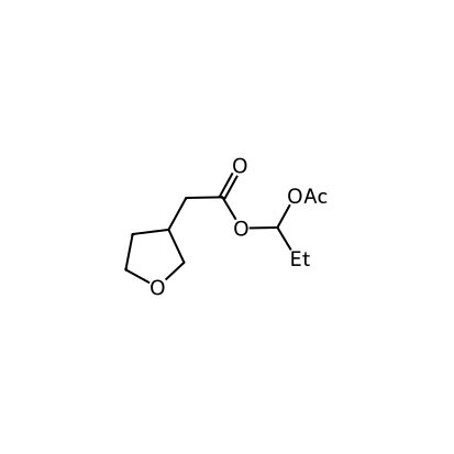 CCC(OC(C)=O)OC(=O)CC1CCOC1